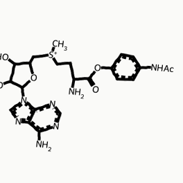 CC(=O)Nc1ccc(OC(=O)C(N)CC[S+](C)CC2OC(n3cnc4c(N)ncnc43)C(O)C2O)cc1